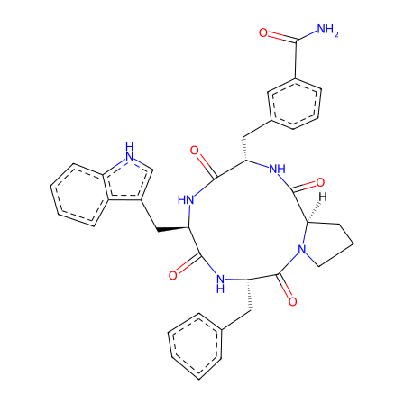 NC(=O)c1cccc(C[C@@H]2NC(=O)[C@H]3CCCN3C(=O)[C@H](Cc3ccccc3)NC(=O)[C@@H](Cc3c[nH]c4ccccc34)NC2=O)c1